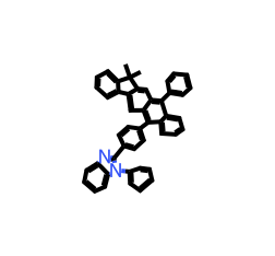 CC1(C)c2ccccc2-c2cc3c(-c4ccc(-c5nc6ccccc6n5-c5ccccc5)cc4)c4ccccc4c(-c4ccccc4)c3cc21